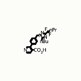 CCCCc1nc(C(F)(F)CCC)nn1Cc1ccc(-c2cnccc2C(=O)O)cc1